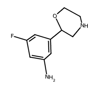 Nc1cc(F)cc(C2CNCCO2)c1